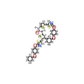 CC(C(=O)C(C)c1ccc(-c2cnc(Oc3ccc(Oc4ccccc4)cc3)s2)s1)c1ccc(-c2cnc(Oc3ccc(Oc4ccccc4)cc3)s2)s1